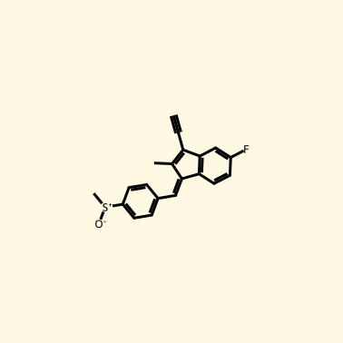 C#CC1=C(C)C(=Cc2ccc([S+](C)[O-])cc2)c2ccc(F)cc21